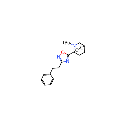 CC(C)(C)N1CC2CCC1(c1nc(CCc3ccccc3)no1)CC2